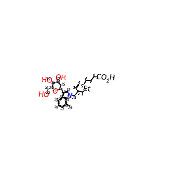 CC/C=C(\C=C/CCCCC(=O)O)Cn1cc([C@H]2C[C@@H](O)[C@@H](O)[C@@H](CO)O2)c2cccc(C)c21